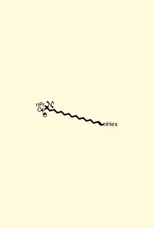 CCCCCCC=CCCCCCCCCCCCCCC(CCC)(P(=O)=O)[N+](C)(C)C